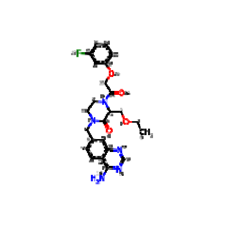 CCOCC1C(=O)N(Cc2ccc3c(N)ncnc3c2)CCN1C(=O)COc1cccc(F)c1